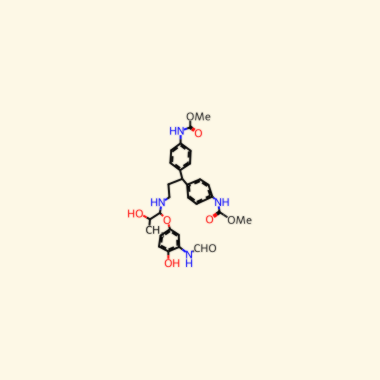 COC(=O)Nc1ccc(C(CCNC(Oc2ccc(O)c(NC=O)c2)C(C)O)c2ccc(NC(=O)OC)cc2)cc1